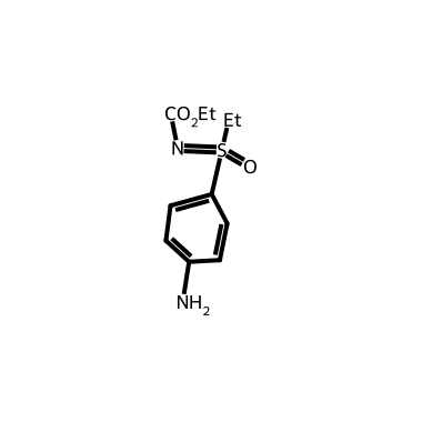 CCOC(=O)N=S(=O)(CC)c1ccc(N)cc1